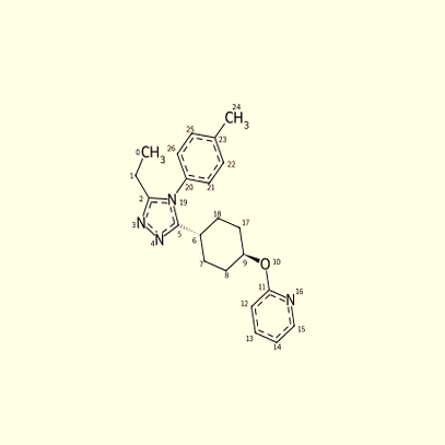 CCc1nnc([C@H]2CC[C@H](Oc3ccccn3)CC2)n1-c1ccc(C)cc1